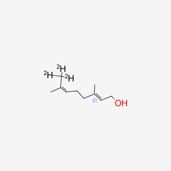 [2H]C([2H])([2H])C(C)=CCC/C(C)=C/CO